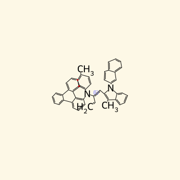 C=C/C(=C\c1c(C)c2ccccc2n1-c1ccc2ccccc2c1)N(c1ccc(C)cc1)c1cccc2c3ccccc3c3ccccc3c12